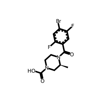 C[C@H]1CN(C(=O)O)CCN1C(=O)c1cc(F)c(Br)cc1F